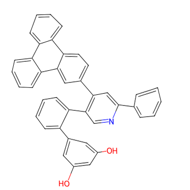 Oc1cc(O)cc(-c2ccccc2-c2cnc(-c3ccccc3)cc2-c2ccc3c4ccccc4c4ccccc4c3c2)c1